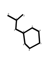 CC(C)C[C]1CCCCC1